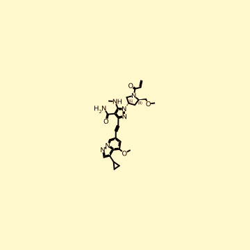 C=CC(=O)N1C[C@@H](n2nc(C#Cc3cc(OC)c4c(C5CC5)cnn4c3)c(C(N)=O)c2NC)C[C@@H]1COC